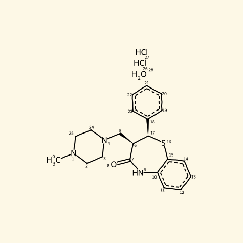 CN1CCN(C[C@@H]2C(=O)Nc3ccccc3S[C@@H]2c2ccccc2)CC1.Cl.Cl.O